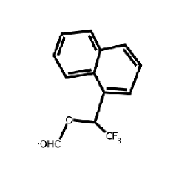 O=[C]OC(c1cccc2ccccc12)C(F)(F)F